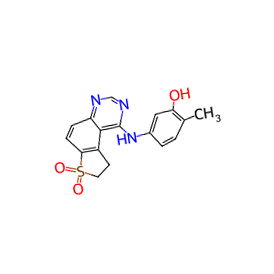 Cc1ccc(Nc2ncnc3ccc4c(c23)CCS4(=O)=O)cc1O